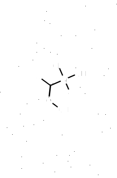 COC(C)[Si](C)(Cl)Cl